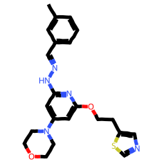 Cc1cccc(/C=N/Nc2cc(N3CCOCC3)cc(OCCc3cncs3)n2)c1